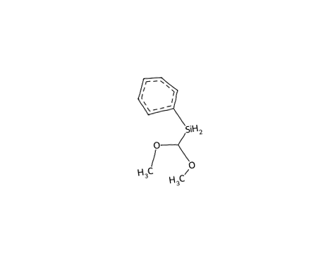 COC(OC)[SiH2]c1ccccc1